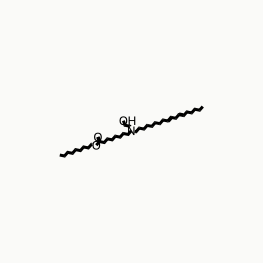 CCCCCC=CCC=CCCCCCCCCN(CCO)CCCCCCCC(=O)OCCCCCCCCC